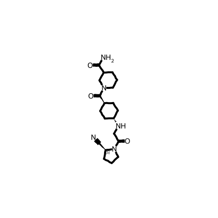 N#C[C@@H]1CCCN1C(=O)CN[C@H]1CC[C@H](C(=O)N2CCCC(C(N)=O)C2)CC1